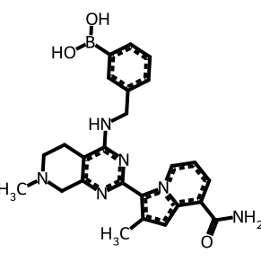 Cc1cc2c(C(N)=O)cccn2c1-c1nc2c(c(NCc3cccc(B(O)O)c3)n1)CCN(C)C2